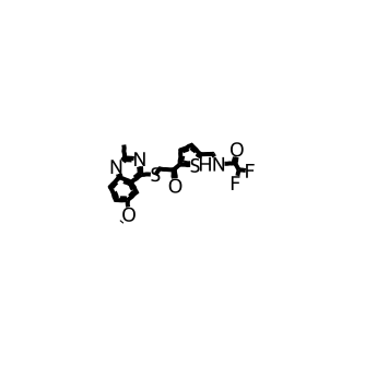 COc1ccc2nc(C)nc(SCC(=O)c3ccc(CNC(=O)C(F)F)s3)c2c1